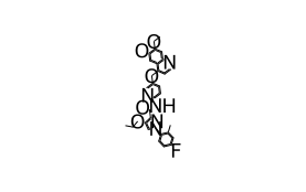 CCOc1cn(-c2ccc(F)cc2C)nc1C(=O)Nc1ccc(Oc2ccnc3cc(OC)c(OC)cc23)cn1